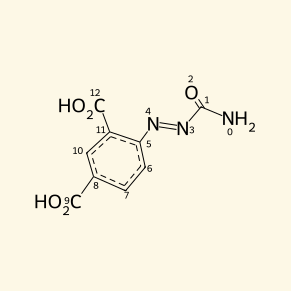 NC(=O)N=Nc1ccc(C(=O)O)cc1C(=O)O